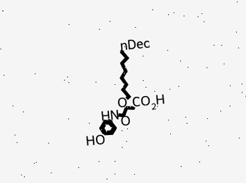 CCCCCCCCCCCCCCCCCCOC(CC(=O)O)C(=O)Nc1ccc(O)cc1